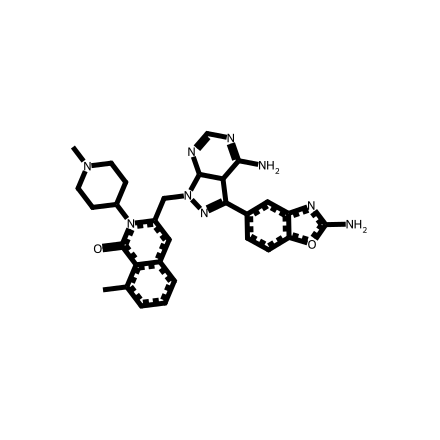 Cc1cccc2cc(CN3N=C(c4ccc5oc(N)nc5c4)C4C(N)=NC=NC43)n(C3CCN(C)CC3)c(=O)c12